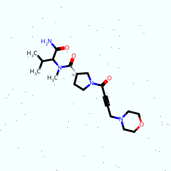 CC(C)C(C(N)=O)N(C)C(=O)[C@H]1CCN(C(=O)C#CCN2CCOCC2)C1